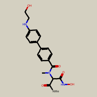 CNC(=O)C(C(=O)NO)N(C)C(=O)c1ccc(-c2ccc(NCCO)cc2)cc1